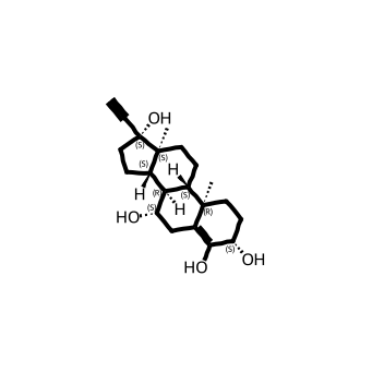 C#C[C@]1(O)CC[C@H]2[C@@H]3[C@@H](O)CC4=C(O)[C@@H](O)CC[C@]4(C)[C@H]3CC[C@@]21C